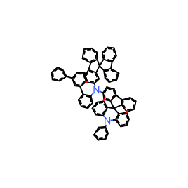 c1ccc(-c2cccc(-c3ccccc3N(c3ccc4c(c3)C3(c5ccccc5-c5ccccc53)c3ccccc3-4)c3ccc4c(c3)C3(c5ccccc5-4)c4ccccc4N(c4ccccc4)c4ccccc43)c2)cc1